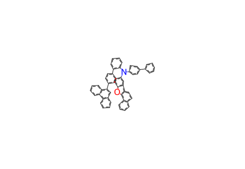 c1ccc(-c2ccc(N(c3ccc4oc5c6ccccc6ccc5c4c3)c3ccccc3-c3ccc(-c4cc5ccccc5c5ccccc45)cc3)cc2)cc1